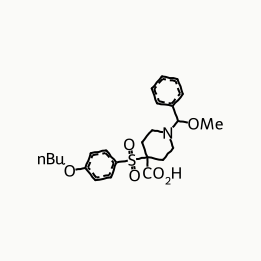 CCCCOc1ccc(S(=O)(=O)C2(C(=O)O)CCN(C(OC)c3ccccc3)CC2)cc1